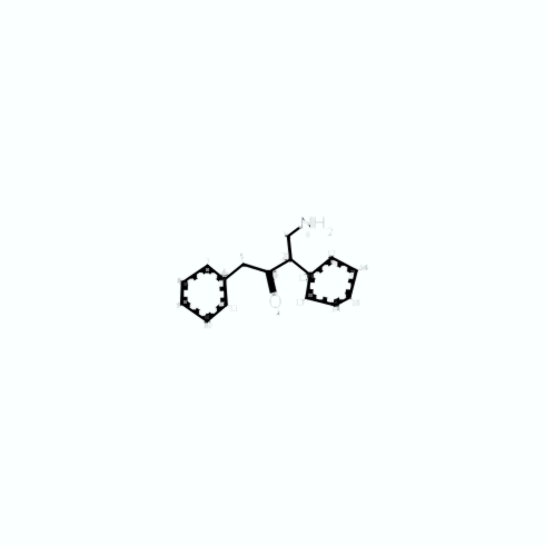 NCC(C(=O)Cc1ccccc1)c1ccccc1